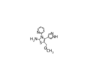 COCC1=C(c2cn[nH]c2)N(c2ccccn2)C(N)S1